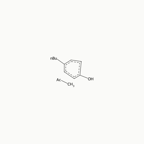 CC(C)=O.CCCCc1ccc(O)cc1